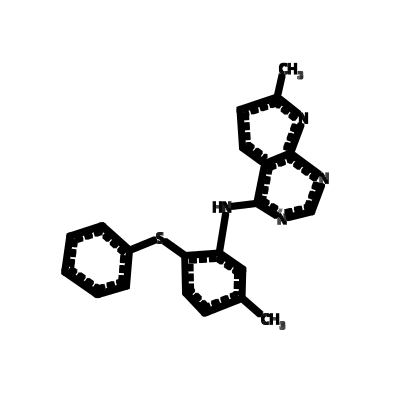 Cc1ccc(Sc2ccccc2)c(Nc2ncnc3nc(C)ccc23)c1